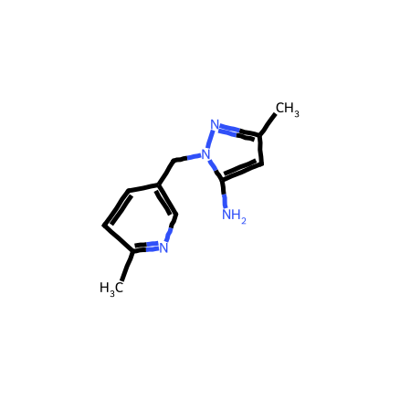 Cc1ccc(Cn2nc(C)cc2N)cn1